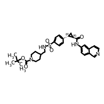 CC(C)(C)OC(=O)N1CCC(CNS(=O)(=O)c2ccc([C@@H]3C[C@H]3C(=O)Nc3ccc4cnccc4c3)cc2)CC1